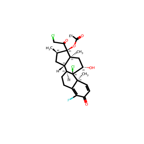 CCC(=O)O[C@]1(C(=O)CCl)[C@H](C)C[C@H]2[C@@H]3CCC4=C(F)C(=O)C=C[C@]4(C)[C@@]3(Cl)[C@@H](O)C[C@@]21C